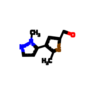 Cc1sc(C=O)cc1-c1ccnn1C